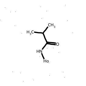 CC(C)C(=O)[NH][Ho]